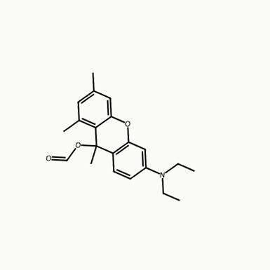 CCN(CC)c1ccc2c(c1)Oc1cc(C)cc(C)c1C2(C)OC=O